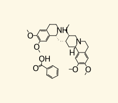 CC[C@H]1CN2CCc3cc(OC)c(OC)cc3[C@@H]2C[C@@H]1C[C@H]1NCCc2cc(OC)c(OC)cc21.O=C(O)c1ccccc1